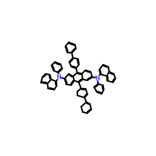 C1=CCCC(C2=CC=C(c3c4cc(N(c5ccccc5)c5cccc6ccccc56)ccc4c(-c4ccc(-c5ccccc5)cc4)c4cc(N(c5ccccc5)c5cccc6ccccc56)ccc34)CC2)=C1